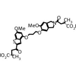 COc1cc(OCCCOc2cc3c(cc2OC)CN(C(=O)C[C@H](C)C(=O)O)C3)c2cc(C(=O)C[C@H](C)C(=O)O)sc2c1